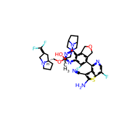 C[C@@H](O)CN1CC2CCC(C1)N2c1nc(OC[C@]23CCCN2CC(=C(F)F)C3)nc2c(F)c(-c3ncc(F)c4sc(N)c(C#N)c34)c3c(c12)COC3